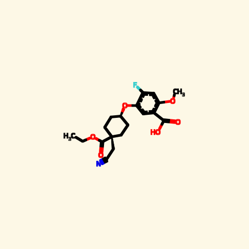 CCOC(=O)[C@]1(CC#N)CC[C@@H](Oc2cc(C(=O)O)c(OC)cc2F)CC1